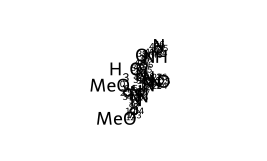 COc1ccc(CN(Cc2ccc(OC)cc2)c2ncc(-c3nc(N4CCOCC4)nc4c3CCN4c3ccc(C(=O)NCc4cccnc4)cc3C)cn2)cc1